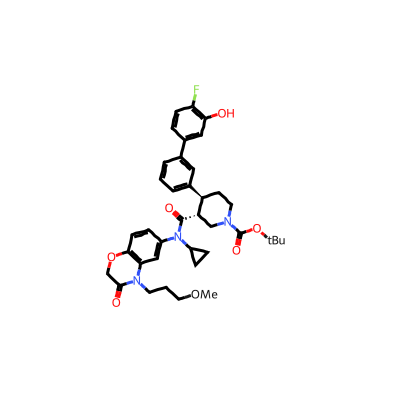 COCCCN1C(=O)COc2ccc(N(C(=O)[C@H]3CN(C(=O)OC(C)(C)C)CC[C@@H]3c3cccc(-c4ccc(F)c(O)c4)c3)C3CC3)cc21